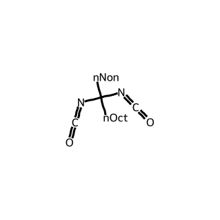 CCCCCCCCCC(CCCCCCCC)(N=C=O)N=C=O